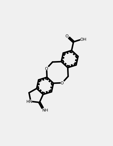 N=C1NCc2cc3c(cc21)OCc1ccc(C(=O)O)cc1CO3